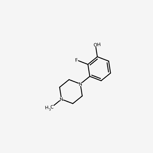 CN1CCN(c2cccc(O)c2F)CC1